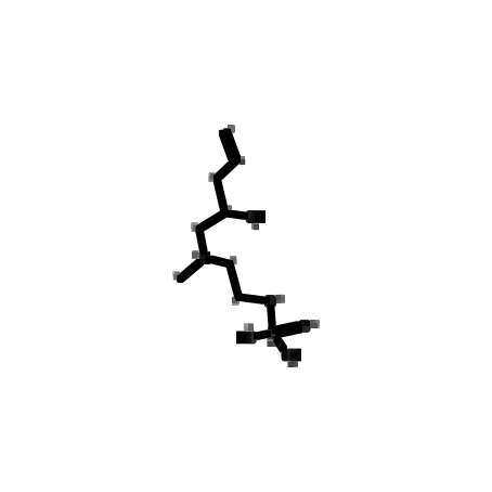 C=CCC(O)CN(C)CCOP(=O)(O)O